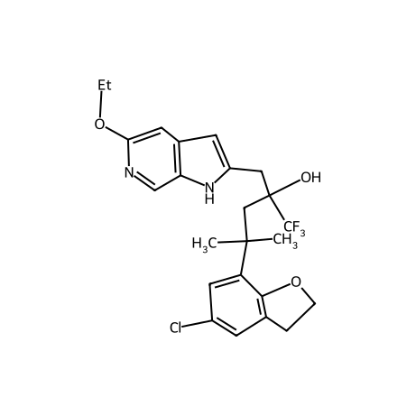 CCOc1cc2cc(CC(O)(CC(C)(C)c3cc(Cl)cc4c3OCC4)C(F)(F)F)[nH]c2cn1